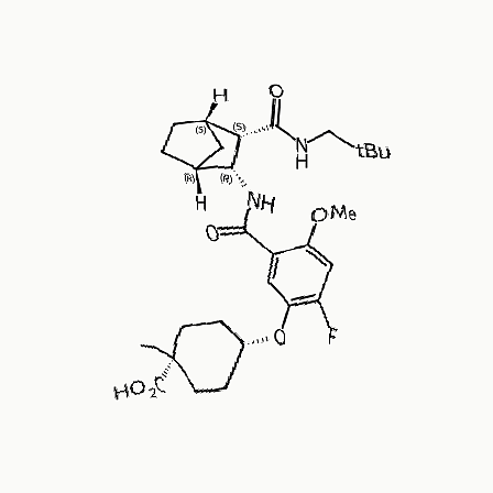 COc1cc(F)c(O[C@H]2CC[C@@](C)(C(=O)O)CC2)cc1C(=O)N[C@@H]1[C@@H]2CC[C@@H](C2)[C@@H]1C(=O)NCC(C)(C)C